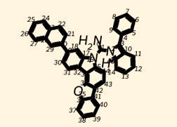 NC(N1C(c2ccccc2)=C2C=CC=C[C@@H]21)n1c2cc(-c3ccc4ccccc4c3)ccc2c2c3oc4ccccc4c3ccc21